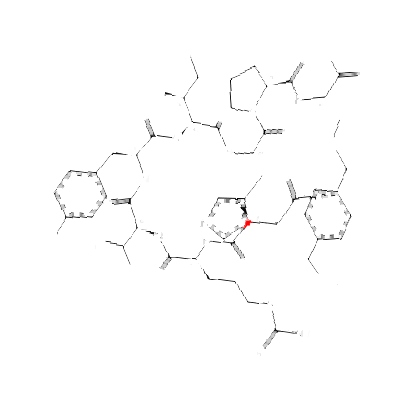 CCc1ccc(CSC[C@H](NC(=O)[C@@H]2CCCN2C(=O)[C@H](Cc2c[nH]cn2)NC(=O)[C@@H](NC(=O)[C@H](Cc2ccc(O)cc2)NC(=O)[C@@H](NC(=O)[C@H](CCCNC(=N)N)NC(=O)[C@@H](N)CC(=O)O)C(C)C)[C@@H](C)CC)C(=O)O)cc1